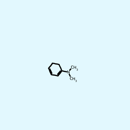 CN(C)C1=CC=CCC1